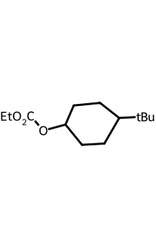 CCOC(=O)OC1CCC(C(C)(C)C)CC1